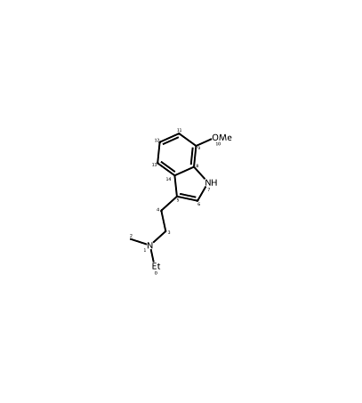 CCN(C)CCc1c[nH]c2c(OC)cccc12